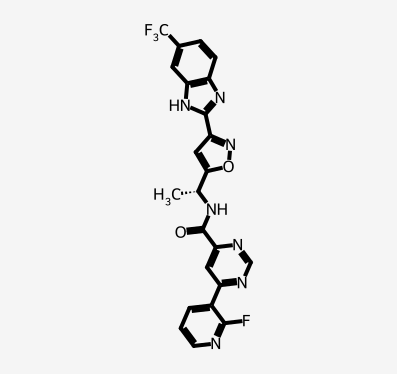 C[C@@H](NC(=O)c1cc(-c2cccnc2F)ncn1)c1cc(-c2nc3ccc(C(F)(F)F)cc3[nH]2)no1